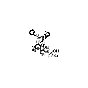 CC[C@H](C)[C@@H](CO)NC(=O)C[C@H](O)[C@H](CC(C)C)NC(=O)C(Cc1cscn1)NC(=O)[C@H](Cc1cccnc1)NC(=O)OCc1ccccc1